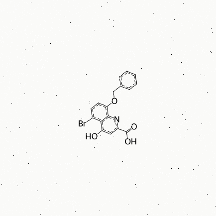 O=C(O)c1cc(O)c2c(Br)ccc(OCc3ccccc3)c2n1